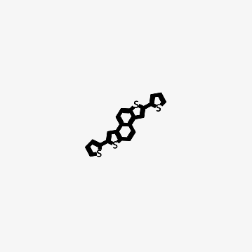 c1csc(-c2cc3c(ccc4c5cc(-c6cccs6)sc5ccc34)s2)c1